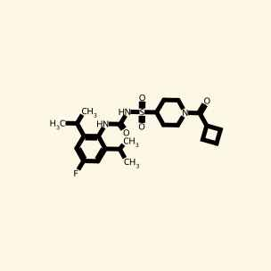 CC(C)c1cc(F)cc(C(C)C)c1NC(=O)NS(=O)(=O)C1CCN(C(=O)C2CCC2)CC1